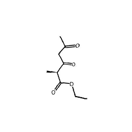 CCOC(=O)[C@@H](C)C(=O)CC(C)=O